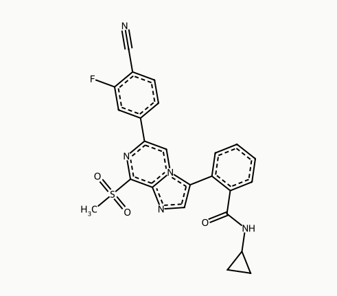 CS(=O)(=O)c1nc(-c2ccc(C#N)c(F)c2)cn2c(-c3ccccc3C(=O)NC3CC3)cnc12